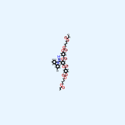 C=CC(=O)OCCCCOC(=O)Oc1ccc(C(=O)Oc2ccc(OC(=O)c3ccc(OC(=O)OCCCCOC(=O)C=C)cc3)c(C(=N)n3c4ccccc4c4cc(C)ccc43)c2)cc1